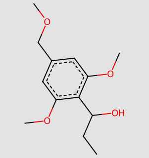 CCC(O)c1c(OC)cc(COC)cc1OC